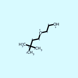 CC(C)(C)CCOCCO